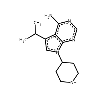 CC(C)c1cn(C2CCNCC2)c2ncnc(N)c12